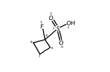 O=S(=O)(O)C1(F)CCC1